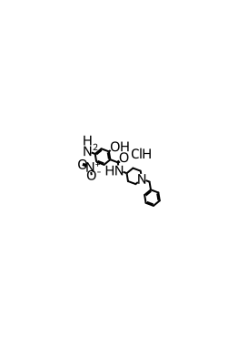 Cl.Nc1cc(O)c(C(=O)NC2CCN(Cc3ccccc3)CC2)cc1[N+](=O)[O-]